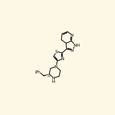 CC(C)C[C@H]1CN(c2csc(C3=NNC4=NC=CCC43)n2)CCN1